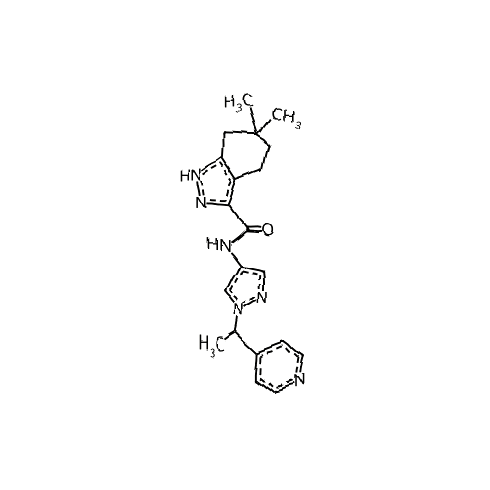 CC(c1ccncc1)n1cc(NC(=O)c2n[nH]c3c2CCC(C)(C)C3)cn1